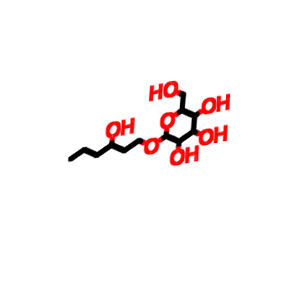 CCCC(O)CCOC1OC(CO)C(O)C(O)C1O